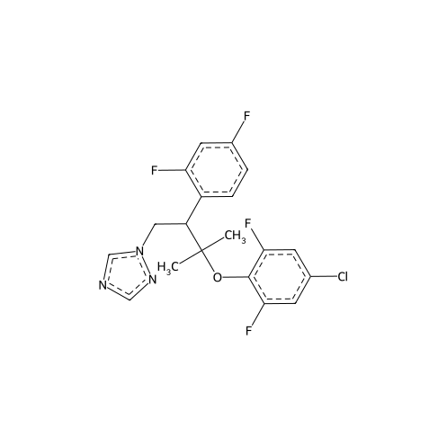 CC(C)(Oc1c(F)cc(Cl)cc1F)C(Cn1cncn1)c1ccc(F)cc1F